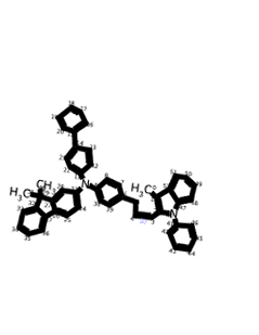 Cc1c(/C=C\Cc2ccc(N(c3ccc(-c4ccccc4)cc3)c3ccc4c(c3)C(C)(C)c3ccccc3-4)cc2)n(-c2ccccc2)c2ccccc12